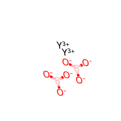 [O-]B([O-])[O-].[O-]B([O-])[O-].[Y+3].[Y+3]